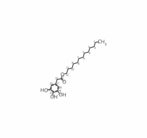 CCCCCCCCCCCCCOC(=O)Cc1cc(O)c(O)c(O)c1